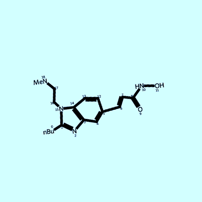 CCCCc1nc2cc(/C=C/C(=O)NO)ccc2n1CCNC